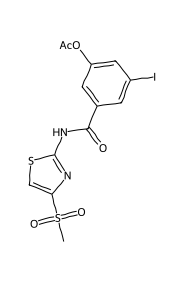 CC(=O)Oc1cc(I)cc(C(=O)Nc2nc(S(C)(=O)=O)cs2)c1